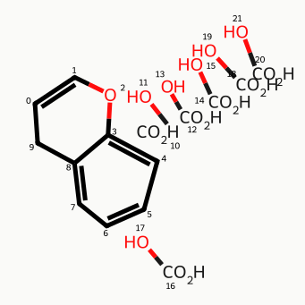 C1=COc2ccccc2C1.O=C(O)O.O=C(O)O.O=C(O)O.O=C(O)O.O=C(O)O.O=C(O)O